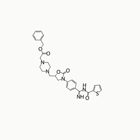 N=C(NC(=O)c1cccs1)c1ccc(N2CC(CN3CCN(CC(=O)OCc4ccccc4)CC3)OC2=O)cc1